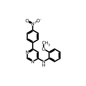 COc1ccccc1Nc1cc(-c2ccc([N+](=O)[O-])cc2)ncn1